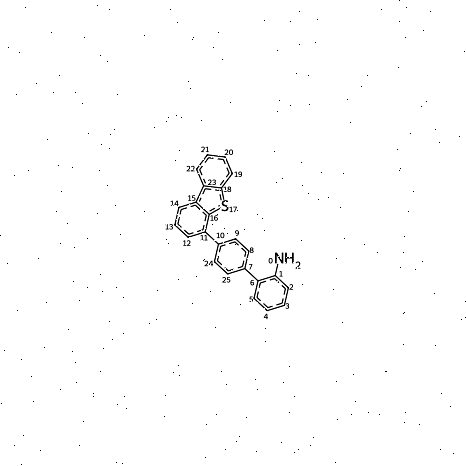 Nc1ccccc1-c1ccc(-c2cccc3c2sc2ccccc23)cc1